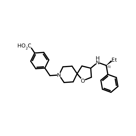 CC[C@H](NC1COC2(CCN(Cc3ccc(C(=O)O)cc3)CC2)C1)c1ccccc1